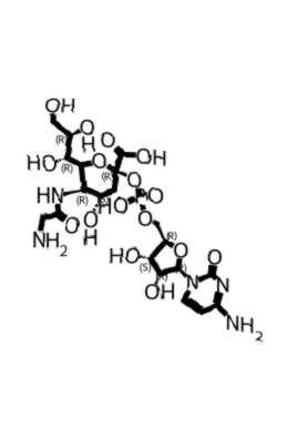 NCC(=O)N[C@H]1C([C@H](O)[C@H](O)CO)O[C@](OP(=O)(O)OC[C@H]2O[C@@H](n3ccc(N)nc3=O)[C@H](O)[C@@H]2O)(C(=O)O)C[C@@H]1O